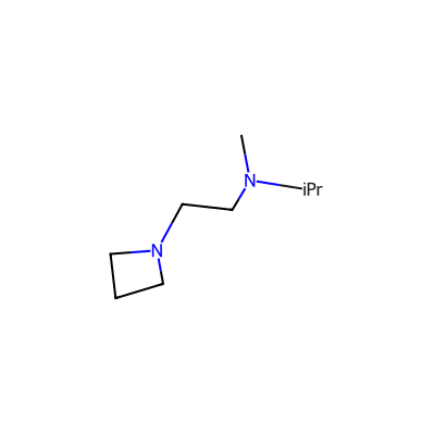 CC(C)N(C)CCN1CCC1